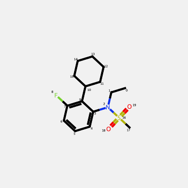 CCN(c1c[c]cc(F)c1C1CCCCC1)S(C)(=O)=O